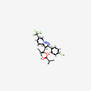 CC(C)=C(OC(=O)C(C)C)c1c(-c2ccc(F)cc2)nn2cc(C(F)(F)F)ccc12